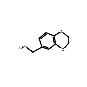 CC(=O)NCc1ccc2c(c1)OCCO2